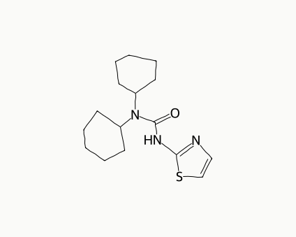 O=C(Nc1nccs1)N(C1CCCCC1)C1CCCCC1